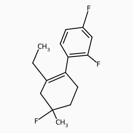 CCC1=C(c2ccc(F)cc2F)CCC(C)(F)C1